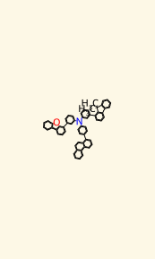 CC1(C)c2ccccc2-c2cccc(-c3cccc(N(c4ccc(-c5cccc6c5ccc5ccccc56)cc4)c4cccc(-c5cccc6c5oc5ccccc56)c4)c3)c21